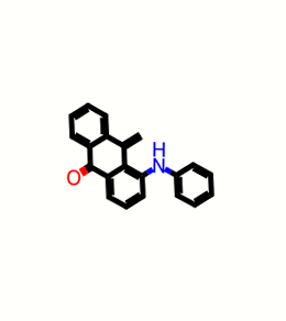 C=C1c2ccccc2C(=O)c2cccc(Nc3ccccc3)c21